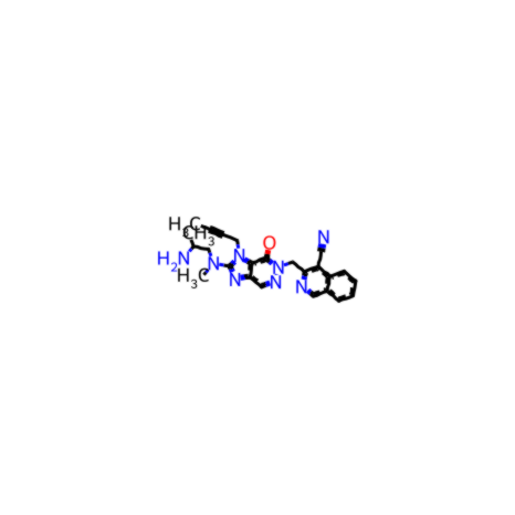 CC#CCn1c(N(C)CC(C)N)nc2cnn(Cc3ncc4ccccc4c3C#N)c(=O)c21